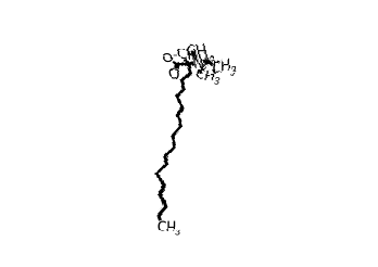 CCCCCCCCCCCCCCCCCC(C)(C(=O)[O-])[N+](C)(C)CC